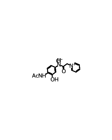 CC(=O)Nc1ccc(NC(=O)C[n+]2ccccc2)cc1O.[Cl-]